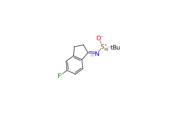 CC(C)(C)[S@@+]([O-])/N=C1\CCc2cc(F)ccc21